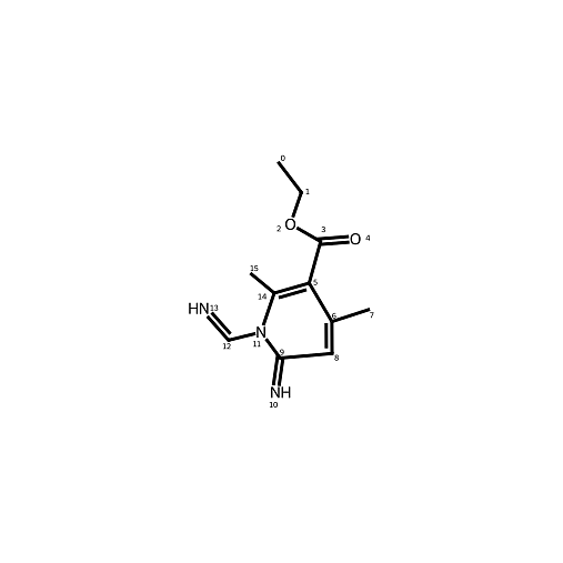 CCOC(=O)c1c(C)cc(=N)n(C=N)c1C